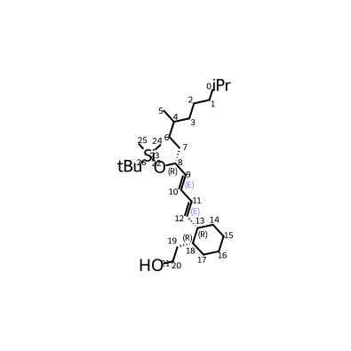 CC(C)CCCC(C)CC[C@H](/C=C/C=C/[C@@H]1CCCC[C@@H]1CCO)O[Si](C)(C)C(C)(C)C